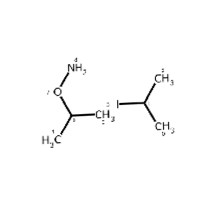 CC(C)I.CC(C)ON